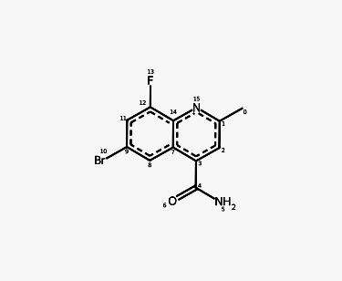 Cc1cc(C(N)=O)c2cc(Br)cc(F)c2n1